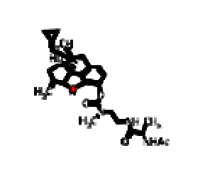 C=C1CC[C@@]2(O)[C@H]3Cc4ccc(OC(=O)N(C)CCNC(=O)[C@H](C)NC(C)=O)c5c4[C@@]2(CC[N+]3(C)CC2CC2)[C@H]1O5